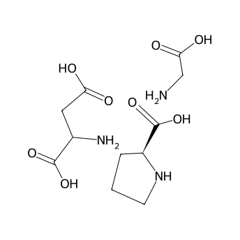 NC(CC(=O)O)C(=O)O.NCC(=O)O.O=C(O)[C@@H]1CCCN1